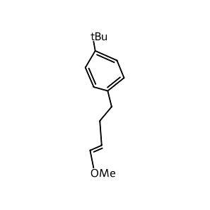 CO/C=C/CCc1ccc(C(C)(C)C)cc1